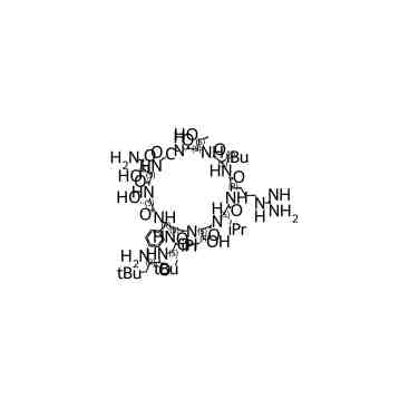 CC[C@H](C)[C@@H]1NC(=O)[C@@H](CCCNC(=N)N)NC(=O)[C@H](CC(C)C)NC(=O)[C@H]([C@H](O)C(C)C)NC(=O)[C@@H](NC(=O)[C@H](CC(C)(C)C)NC(=O)[C@H](N)CC(C)(C)C)[C@@H](c2ccccc2)NC(=O)[C@H](CO)NC(=O)[C@H]([C@H](O)C(N)=O)NC(=O)CNC(=O)[C@H]([C@H](C)O)NC1=O